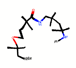 CNCC(C)(C)OCCC(C)(C)C(=O)NCC(C)(C)CC(C)(C)NC(C)C